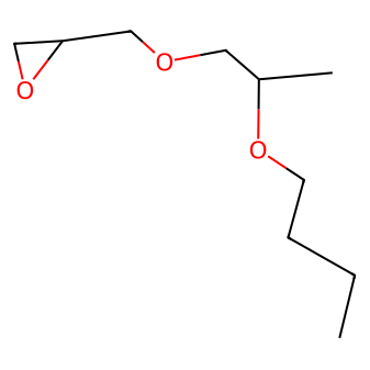 CCCCOC(C)COCC1CO1